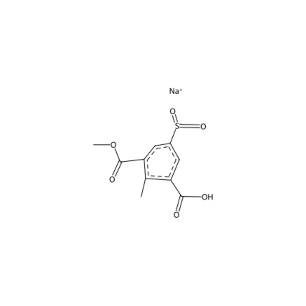 COC(=O)c1cc([S-](=O)=O)cc(C(=O)O)c1C.[Na+]